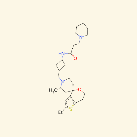 CCc1cc2c(s1)CCO[C@@]21CCN(C[C@H]2C[C@@H](NC(=O)CCN3CCCCC3)C2)[C@@H](C)C1